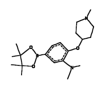 CN1CCC(Oc2ccc(B3OC(C)(C)C(C)(C)O3)cc2N(C)C)CC1